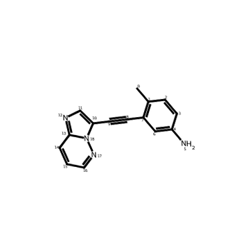 Cc1ccc(N)cc1C#Cc1cnc2cccnn12